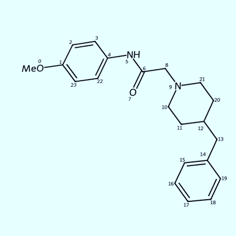 COc1ccc(NC(=O)CN2CCC(Cc3ccccc3)CC2)cc1